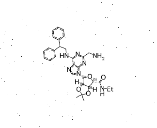 CCNC(=O)[C@H]1O[C@@H](n2cnc3c(NCC(c4ccccc4)c4ccccc4)nc(CN)nc32)[C@@H]2OC(C)(C)O[C@@H]21